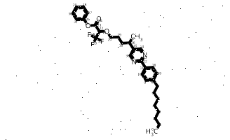 CCCCCCCCc1ccc(-c2ncc(C(C)CCCOC(C(=O)Oc3ccccc3)C(F)(F)F)cn2)cc1